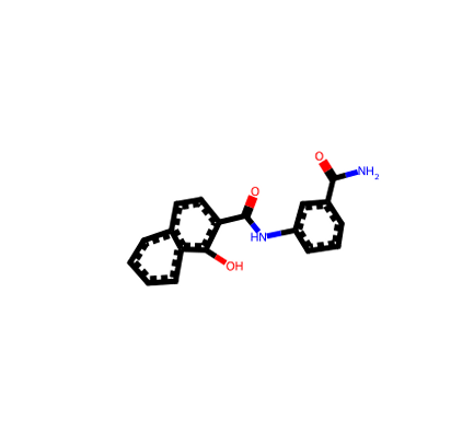 NC(=O)c1cccc(NC(=O)c2ccc3ccccc3c2O)c1